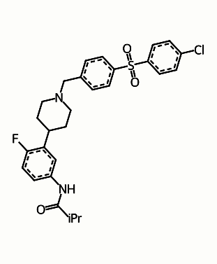 CC(C)C(=O)Nc1ccc(F)c(C2CCN(Cc3ccc(S(=O)(=O)c4ccc(Cl)cc4)cc3)CC2)c1